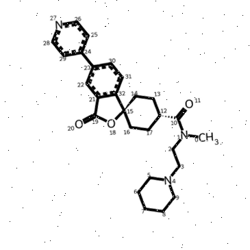 CN(CCN1CCCCC1)C(=O)[C@H]1CC[C@@]2(CC1)OC(=O)c1cc(-c3ccncc3)ccc12